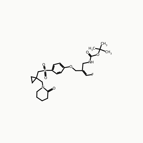 CC(C)(C)OC(=O)NC/C(=C\F)COc1ccc(S(=O)(=O)CC2(CN3CCCCC3=O)CC2)cc1